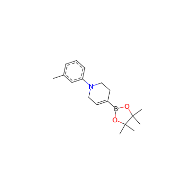 Cc1cccc(N2CC=C(B3OC(C)(C)C(C)(C)O3)CC2)c1